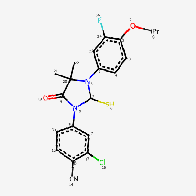 CC(C)Oc1ccc(N2C(S)N(c3ccc(C#N)c(Cl)c3)C(=O)C2(C)C)cc1F